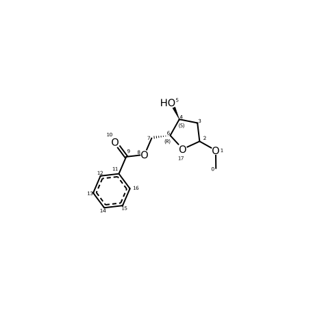 COC1C[C@H](O)[C@@H](COC(=O)c2ccccc2)O1